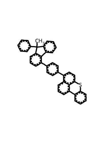 CC1(c2ccccc2)c2ccccc2-c2c(-c3ccc(-c4ccc5c6c(cccc46)-c4ccccc4S5)cc3)cccc21